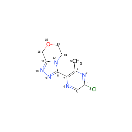 Cc1nc(Cl)cnc1-c1nnc2n1CCOC2